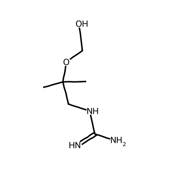 CC(C)(CNC(=N)N)OCO